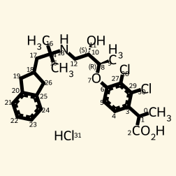 CC(C(=O)O)c1ccc(O[C@H](C)[C@@H](O)CNC(C)(C)CC2Cc3ccccc3C2)c(Cl)c1Cl.Cl